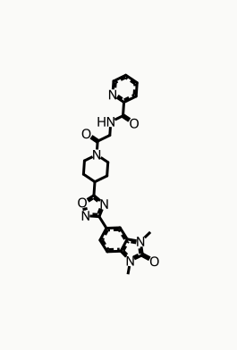 Cn1c(=O)n(C)c2cc(-c3noc(C4CCN(C(=O)CNC(=O)c5ccccn5)CC4)n3)ccc21